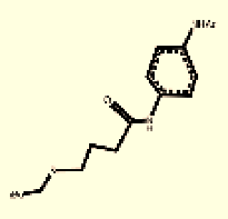 CCC(C)CSCCCC(=O)Nc1ccc(NC(C)=O)cc1